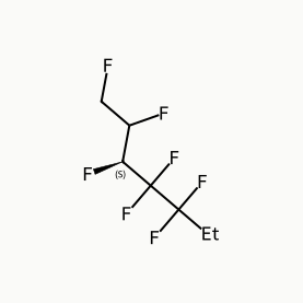 [CH2]CC(F)(F)C(F)(F)[C@@H](F)C(F)CF